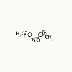 Cn1cnc2ccc([C@@H]3CN(Cc4cccc(C(C)(F)F)c4)CCO3)cc21